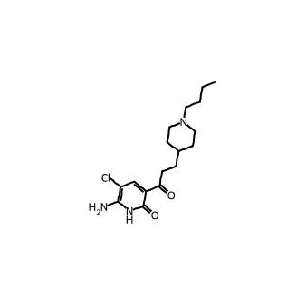 CCCCN1CCC(CCC(=O)c2cc(Cl)c(N)[nH]c2=O)CC1